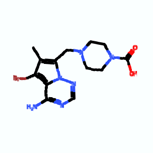 Cc1c(Br)c2c(N)ncnn2c1CN1CCN(C(=O)O)CC1